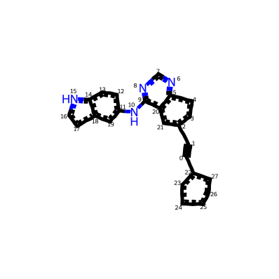 C(#Cc1ccc2ncnc(Nc3ccc4[nH]ccc4c3)c2c1)c1ccccc1